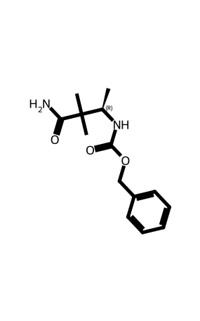 C[C@@H](NC(=O)OCc1ccccc1)C(C)(C)C(N)=O